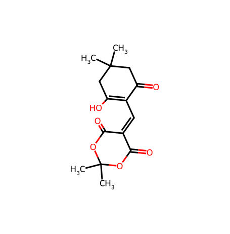 CC1(C)CC(=O)C(C=C2C(=O)OC(C)(C)OC2=O)=C(O)C1